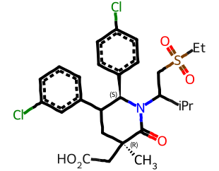 CCS(=O)(=O)CC(C(C)C)N1C(=O)[C@@](C)(CC(=O)O)CC(c2cccc(Cl)c2)[C@H]1c1ccc(Cl)cc1